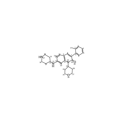 Cc1ccccc1-c1cc2cnc(NC3CCNCC3)nc2n(C2CCOCC2)c1=O